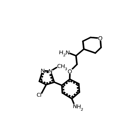 Cn1ncc(Cl)c1-c1cc(N)ccc1OCC(N)C1CCOCC1